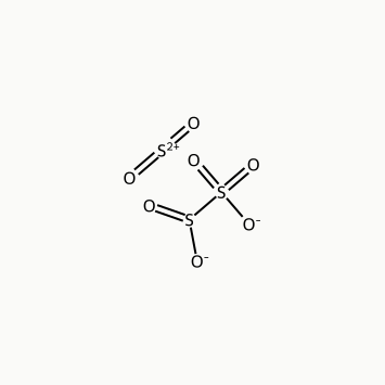 O=S([O-])S(=O)(=O)[O-].O=[S+2]=O